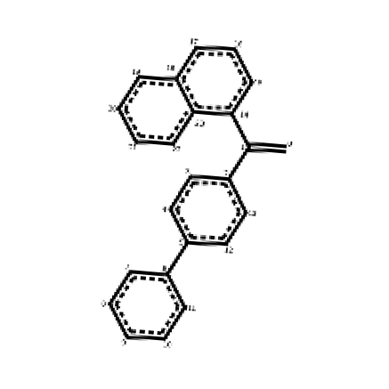 C=C(c1ccc(-c2ccccc2)cc1)c1cccc2ccccc12